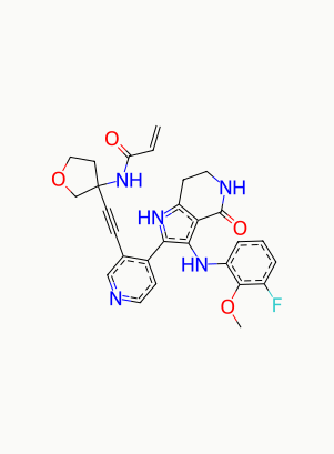 C=CC(=O)NC1(C#Cc2cnccc2-c2[nH]c3c(c2Nc2cccc(F)c2OC)C(=O)NCC3)CCOC1